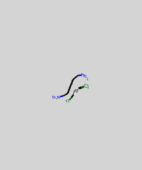 NCCN.[Cl][Pt][Cl]